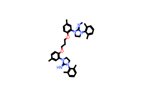 C/N=C1/N(c2cc(C)ccc2OCCCOc2ccc(C)cc2N2CCN(c3c(C)cccc3C)C2=N)CCN1c1c(C)cccc1C